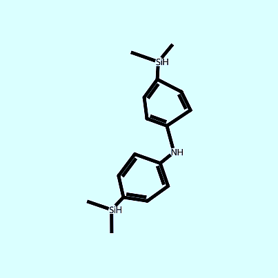 C[SiH](C)c1ccc(Nc2ccc([SiH](C)C)cc2)cc1